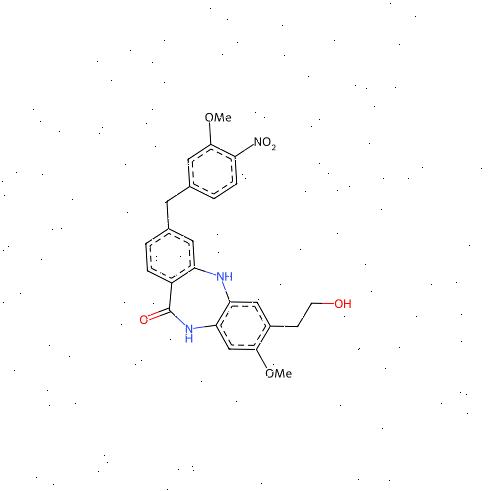 COc1cc2c(cc1CCO)Nc1cc(Cc3ccc([N+](=O)[O-])c(OC)c3)ccc1C(=O)N2